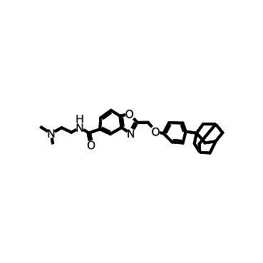 CN(C)CCNC(=O)c1ccc2oc(COc3ccc(C45CC6CC(CC(C6)C4)C5)cc3)nc2c1